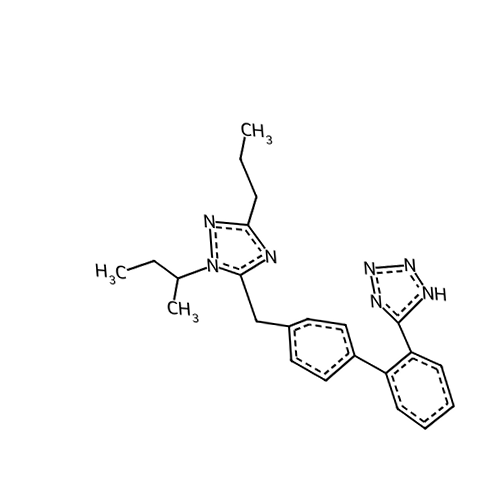 CCCc1nc(Cc2ccc(-c3ccccc3-c3nnn[nH]3)cc2)n(C(C)CC)n1